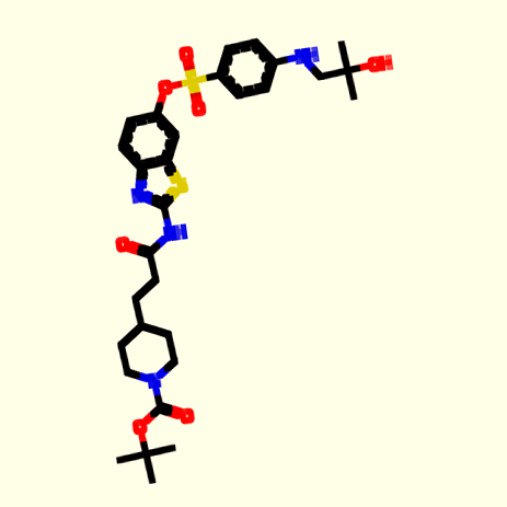 CC(C)(O)CNc1ccc(S(=O)(=O)Oc2ccc3nc(NC(=O)CCC4CCN(C(=O)OC(C)(C)C)CC4)sc3c2)cc1